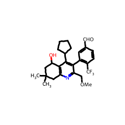 COCc1nc2c(c(C3CCCC3)c1-c1cc(C=O)ccc1C(F)(F)F)C(O)CC(C)(C)C2